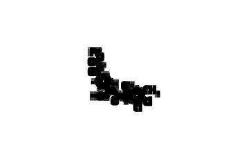 Cc1cc2c(cc(C(=O)NC(CO)c3ccc([S@@+]([O-])CC(=O)OC(C)C)cc3)n2C)c(Cl)c1Cl